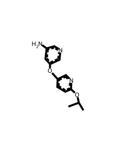 CC(C)Oc1ccc(Oc2cncc(N)c2)cn1